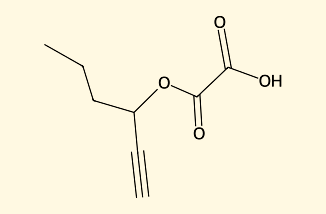 C#CC(CCC)OC(=O)C(=O)O